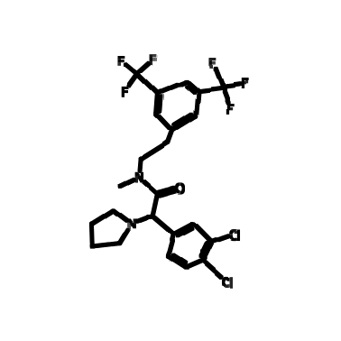 CN(CCc1cc(C(F)(F)F)cc(C(F)(F)F)c1)C(=O)C(c1ccc(Cl)c(Cl)c1)N1CCCC1